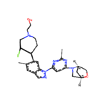 Cc1nc(N2C[C@H]3C[C@@H]2CO3)cc(-n2ncc3cc(C)c(C4CCN(CCO)CC4F)cc32)n1